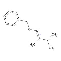 C/C(=N\OCc1ccccc1)C(C)C